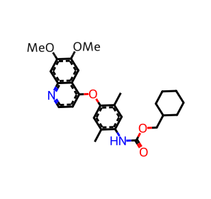 COc1cc2nccc(Oc3cc(C)c(NC(=O)OCC4CCCCC4)cc3C)c2cc1OC